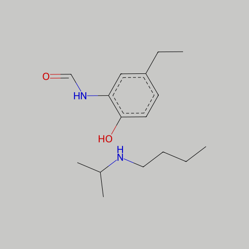 CCCCNC(C)C.CCc1ccc(O)c(NC=O)c1